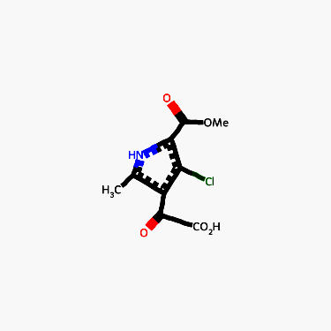 COC(=O)c1[nH]c(C)c(C(=O)C(=O)O)c1Cl